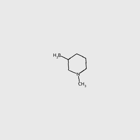 BC1CCCN(C)C1